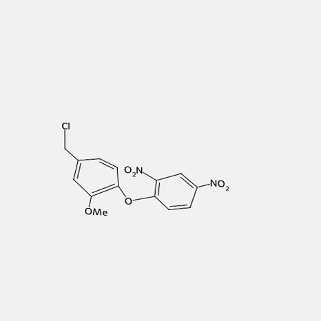 COc1cc(CCl)ccc1Oc1ccc([N+](=O)[O-])cc1[N+](=O)[O-]